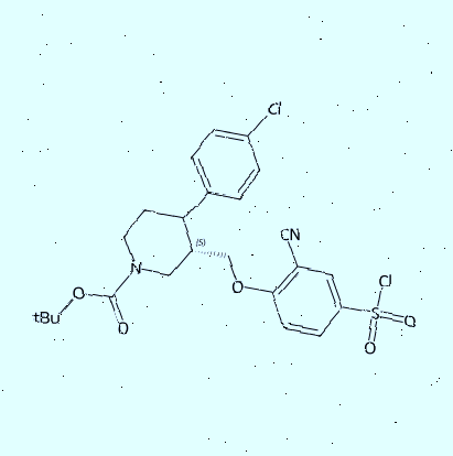 CC(C)(C)OC(=O)N1CCC(c2ccc(Cl)cc2)[C@H](COc2ccc(S(=O)(=O)Cl)cc2C#N)C1